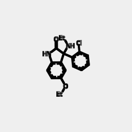 CCNC1(c2ccccc2Cl)C(=O)Nc2ccc(OCC)cc21